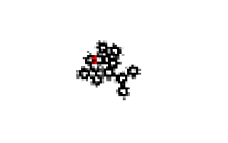 c1ccc(-c2cc(-c3ccccc3)cc(-c3ccc(N(c4cccc5c4-c4ccccc4C5(c4ccccc4)c4ccccc4)c4c(-c5ccccc5)c5ccccc5c5ccccc45)cc3)c2)cc1